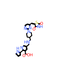 O=C1NC(=O)/C(=C\c2ccnc(N3CCC(CNCc4cnc(-c5ccc[nH]5)c(C(=O)O)c4)CC3)n2)S1